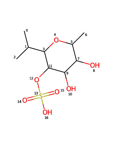 CC(C)C1OC(C)C(O)C(O)C1OS(=O)(=O)O